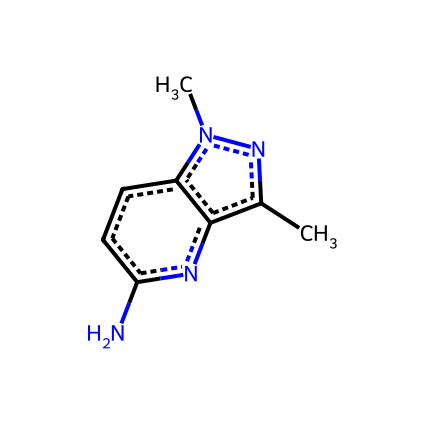 Cc1nn(C)c2ccc(N)nc12